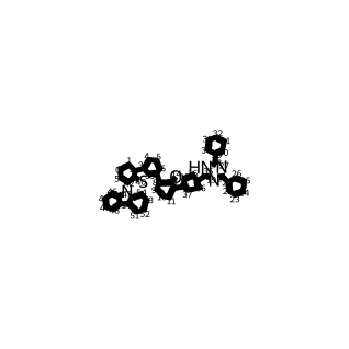 C1=CC2c3cccc(-c4cccc5c4oc4cc(C6N=C(c7ccccc7)N=C(c7ccccc7)N6)ccc45)c3SC2C(n2c3ccccc3c3ccccc32)=C1